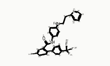 O=C(Nc1ccc(NCCc2ccccn2)cc1)c1cc(F)ccc1-c1ccc(C(F)(F)F)cc1